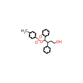 Cc1ccc(S(=O)(=O)OC(c2ccccc2)C(CCO)c2ccccc2)cc1